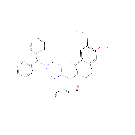 COc1cc2c(cc1OC)C(O)C(CN1CCN(C(c3ccccc3)c3ccccc3)CC1)CC2.O=C(O)/C=C/C(=O)O